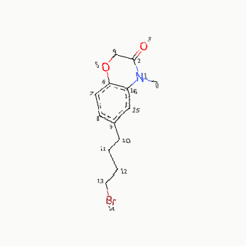 CN1C(=O)COc2ccc(CCCCBr)cc21